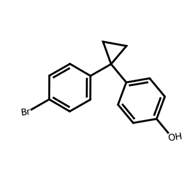 Oc1ccc(C2(c3ccc(Br)cc3)CC2)cc1